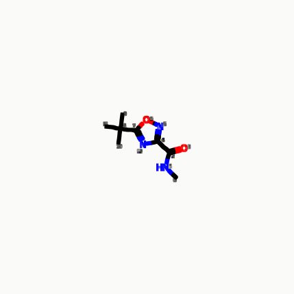 CNC(=O)c1noc(C(C)(C)C)n1